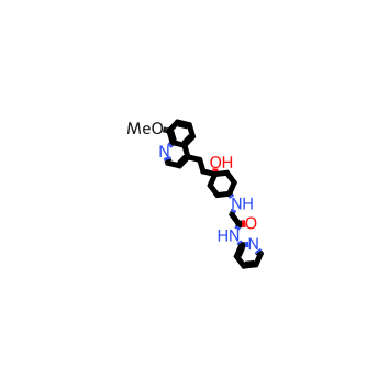 COc1cccc2c(CCC3(O)CCC(NCC(=O)Nc4ccccn4)CC3)ccnc12